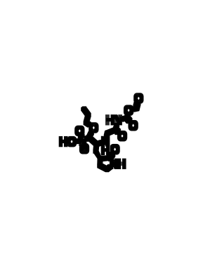 CCCOC(C(C[C@@H]1CCNC1=O)NCC(=O)NC(=O)OC=O)S(=O)(=O)O